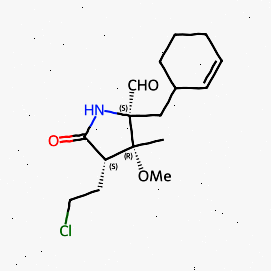 CO[C@]1(C)[C@H](CCCl)C(=O)N[C@@]1(C=O)CC1C=CCCC1